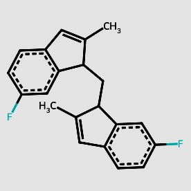 CC1=Cc2ccc(F)cc2C1CC1C(C)=Cc2ccc(F)cc21